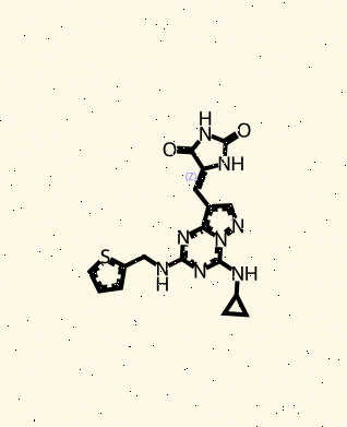 O=C1NC(=O)/C(=C/c2cnn3c(NC4CC4)nc(NCc4cccs4)nc23)N1